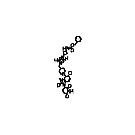 Cn1c(=O)n(C2CCC(=O)NC2=O)c2ccc(Cl)c(N3CCC(CN4C[C@@H]5C[C@H]4CN5C4CC(NC(=O)OCc5ccccc5)C4)CC3)c21